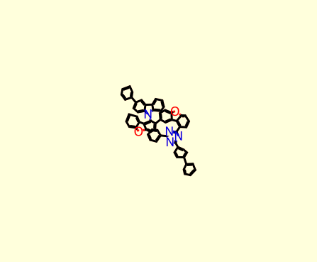 c1ccc(-c2ccc(-c3nc(-c4ccccc4)nc(-c4cccc5oc6ccc(-c7ccc8oc9ccccc9c8c7-n7c8ccccc8c8cc(-c9ccccc9)ccc87)cc6c45)n3)cc2)cc1